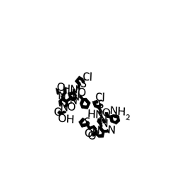 N#Cc1ccc(=O)n(CC(=O)c2cccs2)c1-c1cc(NCc2ccc(Cl)s2)n(C(=O)c2ccccc2N)n1.O=C(O)Cn1ccc(N2CCOCC2)c(-c2cc(NCc3ccc(Cl)s3)n(C(=O)c3ccccc3)n2)c1=O